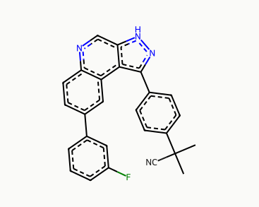 CC(C)(C#N)c1ccc(-c2n[nH]c3cnc4ccc(-c5cccc(F)c5)cc4c23)cc1